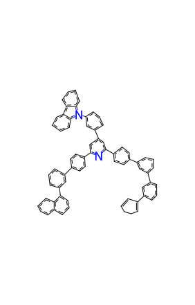 C1=CC(c2cccc(-c3cccc(-c4ccc(-c5cc(-c6cccc(-n7c8ccccc8c8ccccc87)c6)cc(-c6ccc(-c7cccc(-c8cccc9ccccc89)c7)cc6)n5)cc4)c3)c2)=CCC1